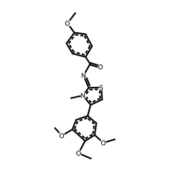 COc1ccc(C(=O)N=c2scc(-c3cc(OC)c(OC)c(OC)c3)n2C)cc1